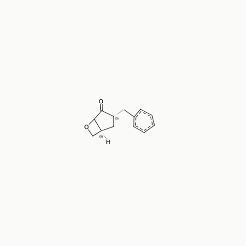 O=C1C2OC[C@@H]2C[C@H]1Cc1ccccc1